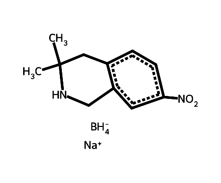 CC1(C)Cc2ccc([N+](=O)[O-])cc2CN1.[BH4-].[Na+]